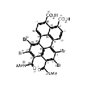 CNC(=O)c1c(Br)c(Br)c2c3ccc(C(=O)O)c4c(C(=O)O)ccc(c5c(Br)c(Br)c(C(=O)NC)c1c25)c43